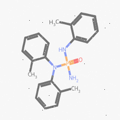 Cc1ccccc1NP(N)(=O)N(c1ccccc1C)c1ccccc1C